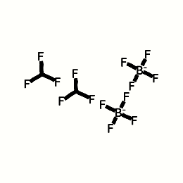 FC(F)F.FC(F)F.F[B-](F)(F)F.F[B-](F)(F)F